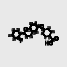 O=C(O)C1CCC(Oc2ccc3c(c2)CCC(c2ccccc2F)O3)CC1